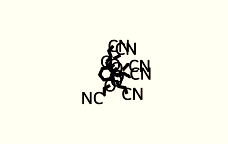 N#CCCOC1(OCCC#N)CCCC(OCCC#N)(OCCC#N)C1(OCCC#N)OCCC#N